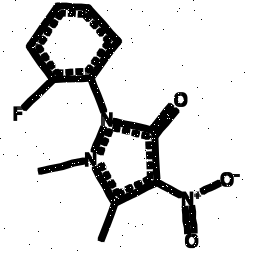 Cc1c([N+](=O)[O-])c(=O)n(-c2ccccc2F)n1C